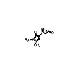 Cn1cc(N(N)CC=O)c(=O)n1C